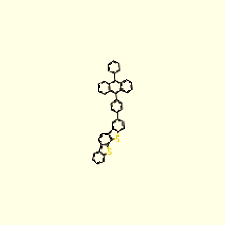 c1ccc(-c2c3ccccc3c(-c3ccc(-c4ccc5sc6c(ccc7c8ccccc8sc76)c5c4)cc3)c3ccccc23)cc1